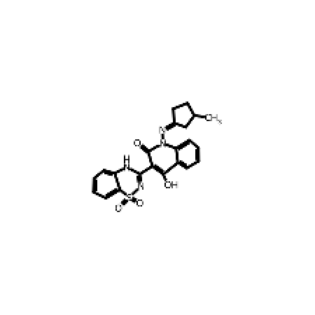 CC1CC/C(=N/n2c(=O)c(C3=NS(=O)(=O)c4ccccc4N3)c(O)c3ccccc32)C1